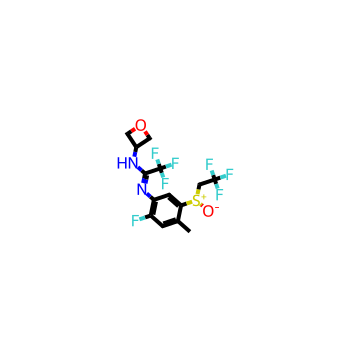 Cc1cc(F)c(/N=C(/NC2COC2)C(F)(F)F)cc1[S+]([O-])CC(F)(F)F